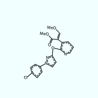 COC=C(C(=O)OC)c1cccnc1Oc1ccn(-c2ccc(Cl)cc2)n1